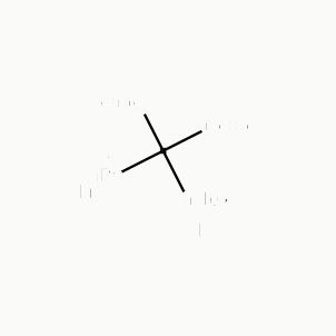 CCCCCCC(C(=O)[O-])(C(=O)[O-])C(C)C.[Li+].[Li+]